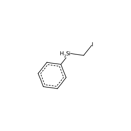 IC[SiH2]c1ccccc1